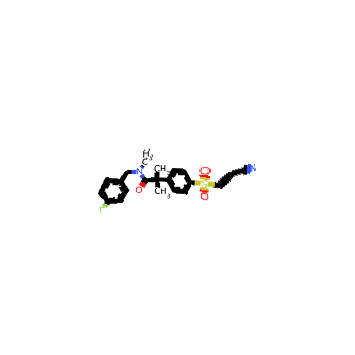 CN(Cc1ccc(F)cc1)C(=O)C(C)(C)c1ccc(S(=O)(=O)/C=C/C#N)cc1